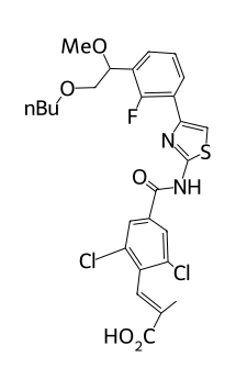 CCCCOCC(OC)c1cccc(-c2csc(NC(=O)c3cc(Cl)c(C=C(C)C(=O)O)c(Cl)c3)n2)c1F